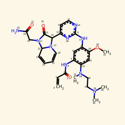 C=CC(=O)Nc1cc(Nc2nccc(C3C(=O)N(CC(N)=O)C4C=CC=CN34)n2)c(OC)cc1N(C)CCN(C)C